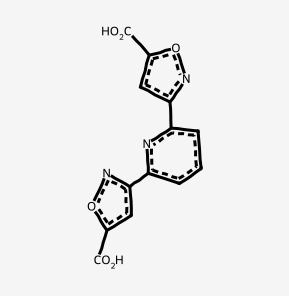 O=C(O)c1cc(-c2cccc(-c3cc(C(=O)O)on3)n2)no1